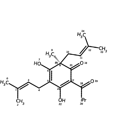 CC(C)=CCC1=C(O)[C@@](C)(CC=C(C)C)C(=O)C(C(=O)C(C)C)=C1O